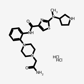 CN(c1nc(C(=O)Nc2ccccc2N2CCN(CC(N)=O)CC2)cs1)C1CCNC1.Cl.Cl